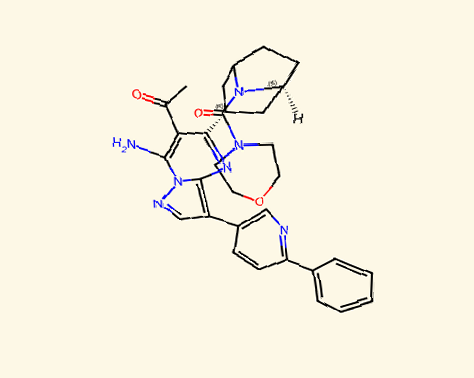 CC(=O)c1c([C@@H]2CC3CC[C@@H](C2)N3C(=O)N2CCOCC2)nc2c(-c3ccc(-c4ccccc4)nc3)cnn2c1N